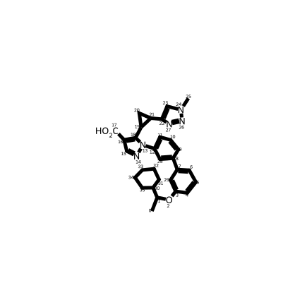 CC(Oc1cccc(-c2cccc(-n3ncc(C(=O)O)c3C3CC3c3cn(C)nn3)c2)c1)C1CCCCC1